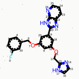 Fc1cccc(COc2cc(OCc3ncc[nH]3)cc(-c3nc4cccnc4[nH]3)c2)c1